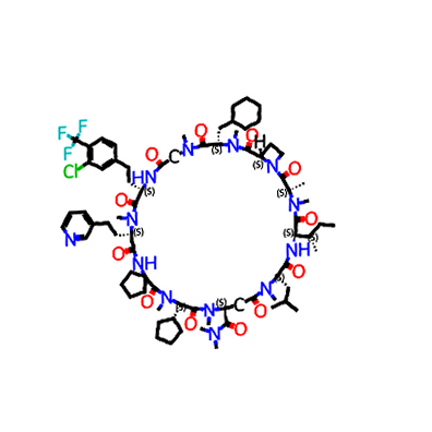 CC[C@H](C)[C@@H]1NC(=O)[C@H](CC(C)C)N(C)C(=O)C[C@@H](C(=O)N(C)C)N(C)C(=O)[C@H](C2CCCC2)N(C)C(=O)C2(CCCC2)NC(=O)[C@H](CCc2cccnc2)N(C)C(=O)[C@H](CCc2ccc(C(F)(F)F)c(Cl)c2)NC(=O)CN(C)C(=O)[C@H](CC2CCCCC2)N(C)C(=O)[C@@H]2CCN2C(=O)[C@H](C)N(C)C1=O